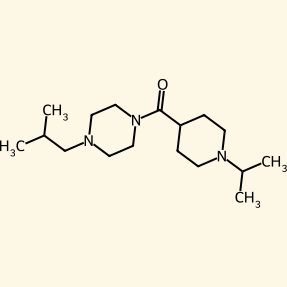 CC(C)CN1CCN(C(=O)C2CCN(C(C)C)CC2)CC1